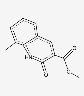 COC(=O)c1cc2cccc(C)c2[nH]c1=O